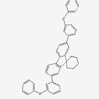 c1ccc(Oc2cccc(-c3ccc4c(c3)C3(CCCCC3)c3cc(-c5cccc(Oc6ccccc6)c5)ccc3-4)c2)cc1